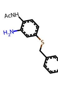 CC(=O)Nc1ccc(SCc2ccccc2)cc1N